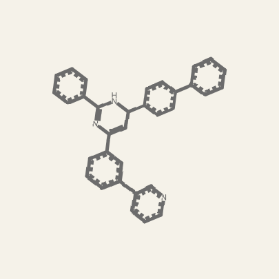 C1=C(c2cccc(-c3cccnc3)c2)N=C(c2ccccc2)NC1c1ccc(-c2ccccc2)cc1